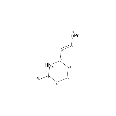 CCCC=CC1CCCC(C)N1